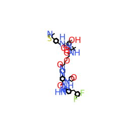 Cc1ncsc1-c1ccc(CNC(=O)[C@@H]2C[C@@H](O)CN2C(=O)C(NC(=O)CCOCCC(=O)N2CCN(c3ccc(C(=O)Nc4n[nH]c5ccc(Cc6cc(F)cc(F)c6)cc45)c(NC4CCOCC4)c3)CC2)C(C)(C)C)cc1